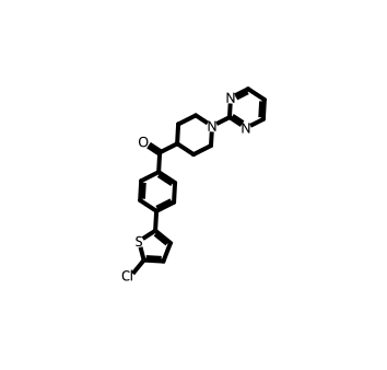 O=C(c1ccc(-c2ccc(Cl)s2)cc1)C1CCN(c2ncccn2)CC1